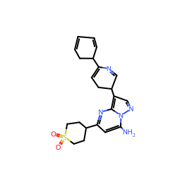 Nc1cc(C2CCS(=O)(=O)CC2)nc2c(C3C=NC(C4C=CC=CC4)=CC3)cnn12